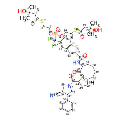 CC(C)(O)CC(=O)SCCOP(=O)(OCCSC(=O)CC(C)(C)O)C(F)(F)c1ccc2sc(C(=O)NC3CCCC[C@H]4CC[C@@H](C(=O)N5C[C@H](c6ccccc6)[C@@H](C#N)C5)N4C3=O)cc2c1